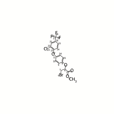 COC(=O)C(CBr)Oc1ccc(Oc2ccc(C(F)(F)F)cc2Cl)cc1